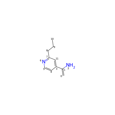 C=C(N)c1ccnc(CCC)c1